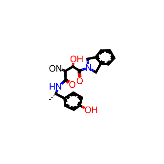 C[C@H](NC(=O)C(N=O)C(O)C(=O)N1Cc2ccccc2C1)c1ccc(O)cc1